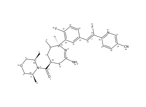 CC1C[C@H](C(=O)N2[C@H](C)COC[C@@H]2C)SC(N)=N[C@]1(C)c1cc(/C=C(\F)c2ccc(C#N)cn2)ccc1F